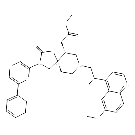 COC(=O)C[C@H]1CN(C[C@H](O)c2ccnc3ccc(OC)cc23)CC[C@]12CN(C1=COC=C(C3=CC=CCC3)O1)C(=O)O2